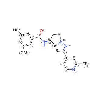 COc1cc(C#N)cc(C(=O)N[C@H]2CCn3nc(-c4ccnc(C(F)(F)F)c4)cc32)c1